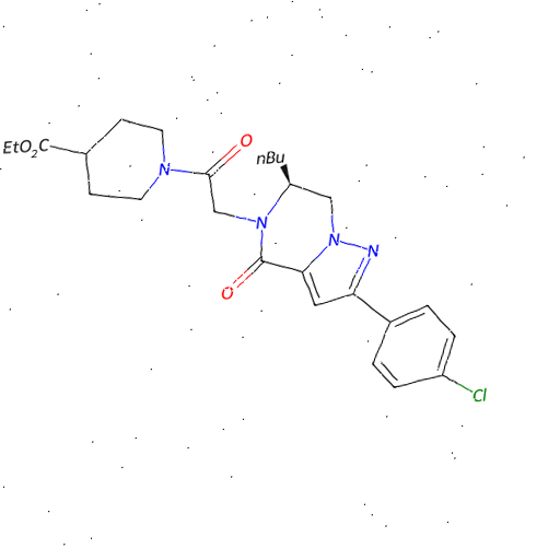 CCCC[C@H]1Cn2nc(-c3ccc(Cl)cc3)cc2C(=O)N1CC(=O)N1CCC(C(=O)OCC)CC1